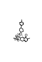 Cc1ccc(C2CCC(OC[C@H]3[C@@H](NS(=O)(=O)N(C)C)CCc4ccc(C)c(=O)n43)CC2)cc1